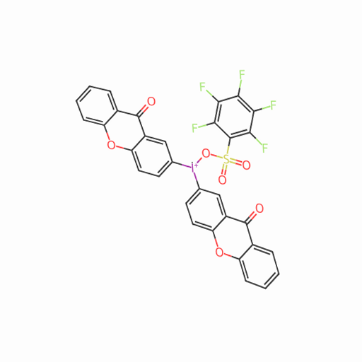 O=c1c2ccccc2oc2ccc([I+](OS(=O)(=O)c3c(F)c(F)c(F)c(F)c3F)c3ccc4oc5ccccc5c(=O)c4c3)cc12